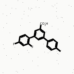 Cc1ccc(-c2cc(C(=O)O)cc(-c3ccc(F)cc3F)c2)cc1